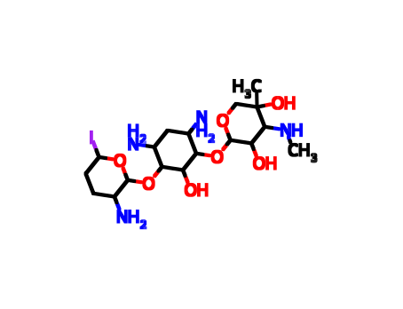 CNC1C(O)C(OC2C(N)CC(N)C(OC3OC(I)CCC3N)C2O)OCC1(C)O